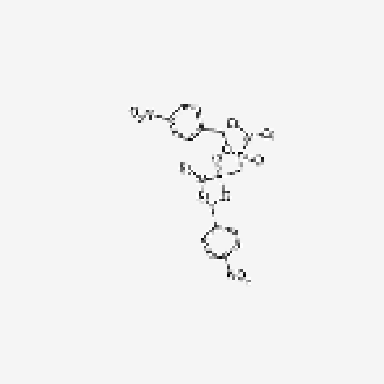 CCN(CC)P(=O)(CP(=O)(OCc1ccc([N+](=O)[O-])cc1)N(CC)CC)OCc1ccc([N+](=O)[O-])cc1